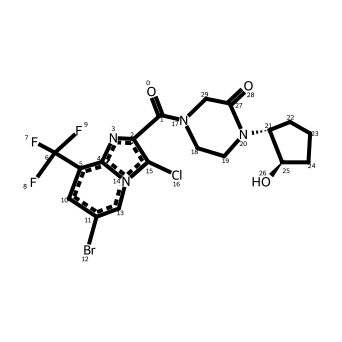 O=C(c1nc2c(C(F)(F)F)cc(Br)cn2c1Cl)N1CCN([C@@H]2CCC[C@H]2O)C(=O)C1